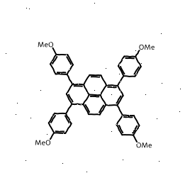 COc1ccc(-c2cc(-c3ccc(OC)cc3)c3ccc4c(-c5ccc(OC)cc5)cc(-c5ccc(OC)cc5)c5ccc2c3c54)cc1